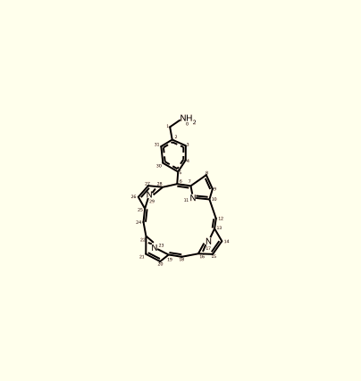 NCc1ccc(C2=C3C=CC(=N3)C=C3C=CC(=N3)C=C3C=CC(=N3)C=C3C=CC2=N3)cc1